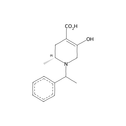 CC(c1ccccc1)N1CC(O)=C(C(=O)O)C[C@H]1C